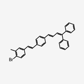 Cc1cc(C=Cc2ccc(C=CC=C(c3ccccc3)c3ccccc3)cc2)ccc1Br